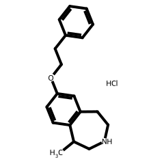 CC1CNCCc2cc(OCCc3ccccc3)ccc21.Cl